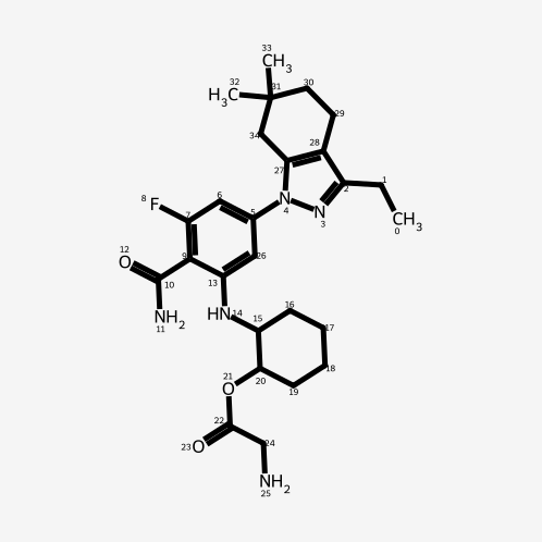 CCc1nn(-c2cc(F)c(C(N)=O)c(NC3CCCCC3OC(=O)CN)c2)c2c1CCC(C)(C)C2